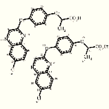 CC(Oc1ccc(Oc2cnc3cc(Cl)ccc3n2)cc1)C(=O)O.CCOC(=O)C(C)Oc1ccc(Oc2cnc3cc(Cl)ccc3n2)cc1